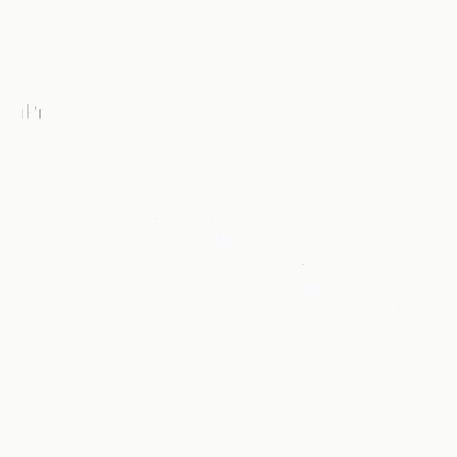 [CH]=C(C)/C=C/C=C(\C)CCCC(C)C